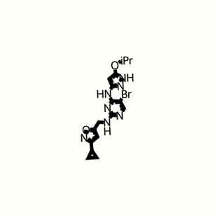 CC(C)Oc1cc(Nc2nc(NCc3cc(C4CC4)no3)ncc2Br)n[nH]1